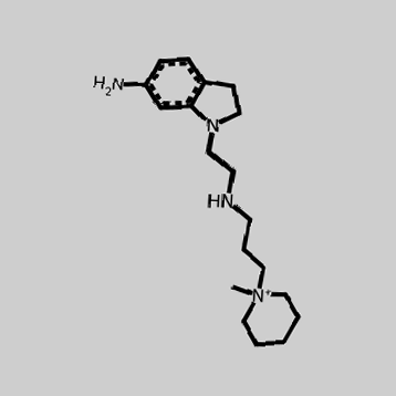 C[N+]1(CCCNCCN2CCc3ccc(N)cc32)CCCCC1